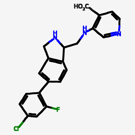 O=C(O)c1ccncc1NCC1NCc2cc(-c3ccc(Cl)cc3F)ccc21